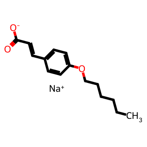 CCCCCCOc1ccc(C=CC(=O)[O-])cc1.[Na+]